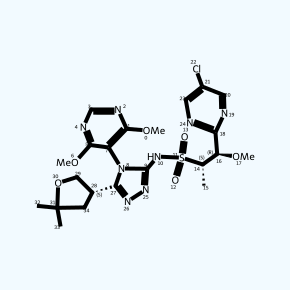 COc1ncnc(OC)c1-n1c(NS(=O)(=O)[C@@H](C)[C@H](OC)c2ncc(Cl)cn2)nnc1[C@H]1COC(C)(C)C1